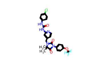 CC1(C)C(=O)N(c2ccc(OC(F)(F)F)cc2)C(=O)N1Cc1ccnc(NC(=O)Nc2ccc(Cl)cc2)c1